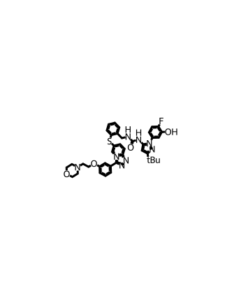 CC(C)(C)c1cc(NC(=O)NCc2ccccc2Sc2ccc3nnc(-c4cccc(OCCN5CCOCC5)c4)n3c2)n(-c2ccc(F)c(O)c2)n1